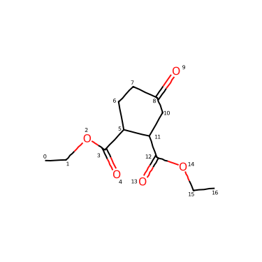 CCOC(=O)C1CCC(=O)CC1C(=O)OCC